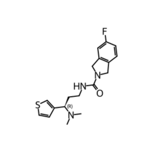 CN(C)[C@H](CCNC(=O)N1Cc2ccc(F)cc2C1)c1ccsc1